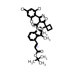 Cc1cn(C(=O)c2c(-c3c(Cl)cc(Cl)cc3Cl)noc2C2(N(C)C)CCC2)c2cccc(/C=C/C(=O)OC(C)(C)C)c12